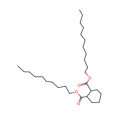 CCCCCCCCCCCOC(=O)C1CCCCC1C(=O)OCCCCCCCCCC